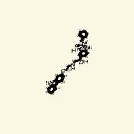 CN(Cc1ccccc1)S(=O)(=O)Nc1cc(C(O)CNCCOc2ccc3c(c2)[nH]c2ccccc23)ccc1O